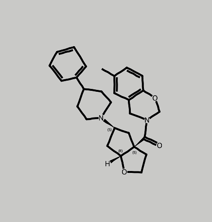 Cc1ccc2c(c1)CN(C(=O)[C@@]13CCO[C@@H]1C[C@@H](N1CCC(c4ccccc4)CC1)C3)CO2